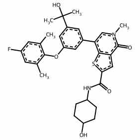 Cc1cc(F)cc(C)c1Oc1cc(-c2cn(C)c(=O)c3cc(C(=O)NC4CCC(O)CC4)sc23)cc(C(C)(C)O)c1